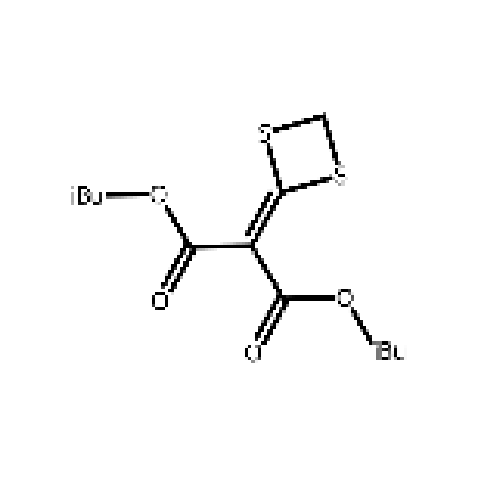 CCC(C)OC(=O)C(C(=O)OC(C)CC)=C1SCS1